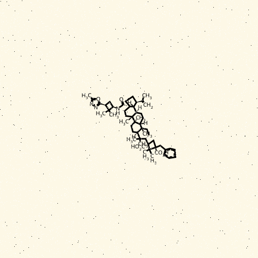 C=C(C)[C@@H]1CC[C@]2(C(=O)N[C@@H]3C[C@H](c4nnc(C)o4)C3(C)C)CC[C@]3(C)[C@H](CC[C@@H]4[C@]5(C)CC[C@H]([C@@]6(C(=O)O)C[C@@](Cc7ccccc7)(C(=O)O)C6(C)C)C(C)(C)[C@H]5CC[C@]43C)[C@@H]12